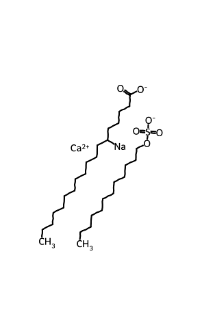 CCCCCCCCCCCCOS(=O)(=O)[O-].CCCCCCCCCCCC[CH]([Na])CCCCC(=O)[O-].[Ca+2]